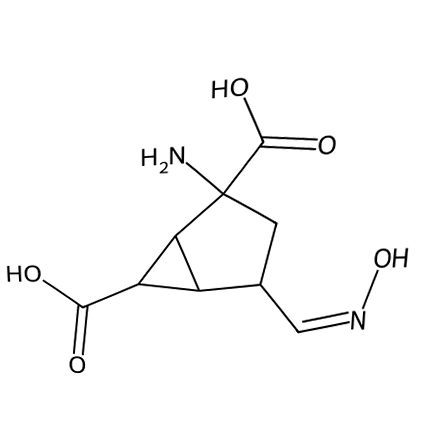 NC1(C(=O)O)CC(/C=N\O)C2C(C(=O)O)C21